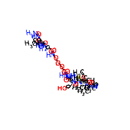 CCCO[C@H](C[C@H](C(C)C)N(CCC)C(=O)[C@@H](NC(=O)[C@H]1CCCCN1C)[C@@H](C)CC)c1nc(C(=O)NC(Cc2ccc(O)cc2)C[C@H](C)C(=O)NNC(=O)OCCOCCOCCOCCNC(=O)OCc2ccc(NC(=O)[C@H](CCCNC(N)=O)NC(=O)[C@@H](N)C(C)C)cc2)cs1